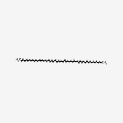 CCCCCCCCCCCCCCCCCCCCCCCCC[CH]CCCCCCCCCCCCCCCCCCCCCCCCCCC